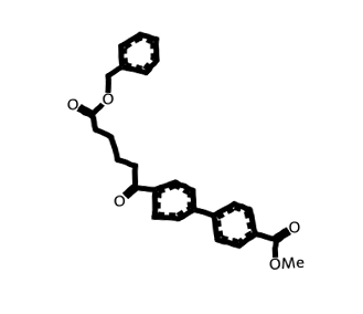 COC(=O)c1ccc(-c2ccc(C(=O)CCCCC(=O)OCc3ccccc3)cc2)cc1